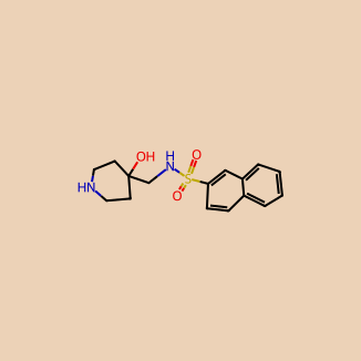 O=S(=O)(NCC1(O)CCNCC1)c1ccc2ccccc2c1